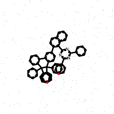 c1ccc(-c2nc(-c3ccccc3)nc(-c3c(-c4ccc5c(c4)-c4ccccc4C(c4ccccc4)(c4ccccc4)C5(c4ccccc4)c4ccccc4)ccc4ccccc34)n2)cc1